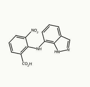 O=C(O)c1cccc([N+](=O)[O-])c1Nc1cccc2cn[nH]c12